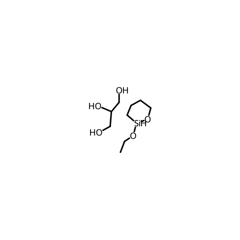 CCO[SiH]1CCCCO1.OCC(O)CO